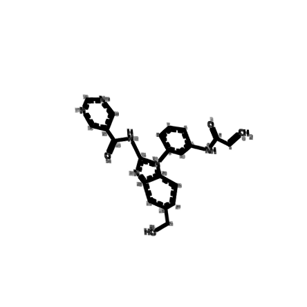 C=CC(=O)Nc1cccc(-n2c(NC(=O)c3cncnc3)nc3cc(CO)ccc32)c1